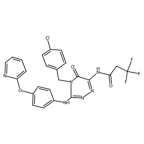 O=C(CC(F)(F)F)Nc1nnc(Nc2ccc(Oc3ccccn3)cc2)n(Cc2ccc(Cl)cc2)c1=O